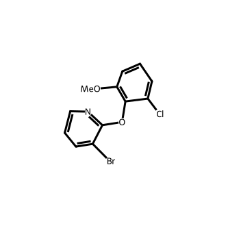 COc1cccc(Cl)c1Oc1ncccc1Br